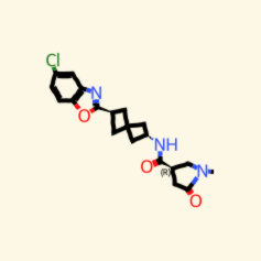 CN1C[C@H](C(=O)N[C@H]2CC3(C2)C[C@H](c2nc4cc(Cl)ccc4o2)C3)CC1=O